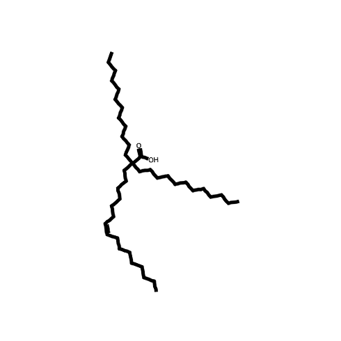 CCCCCCCC/C=C\CCCCCCC(CCCCCCCCCCCC)(CCCCCCCCCCCC)C(=O)O